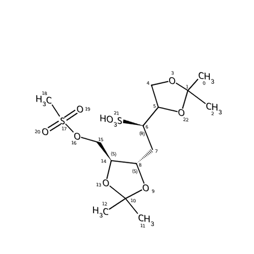 CC1(C)OCC([C@@H](C[C@@H]2OC(C)(C)O[C@H]2COS(C)(=O)=O)S(=O)(=O)O)O1